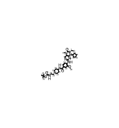 CC[C@@H]1C(=O)N(C)c2cnc(Nc3ccc(C(=O)NC4CCN(CCNC(=O)OC(C)(C)C)CC4)cc3OC)nc2N1C1CCCC1